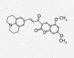 COc1cc(OC)c2cc(C(=O)C=Cc3cc4c5c(c3)CCCN5CCC4)c(=O)oc2c1